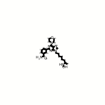 C=C(CCCCCCn1cnc2c(N3CCOCC3)nc(-c3cccc(C(N)=O)c3)nc21)NO